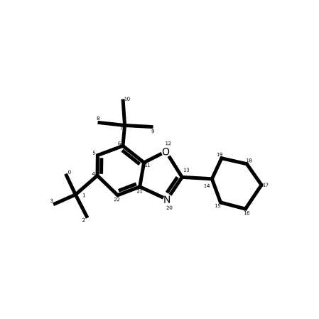 CC(C)(C)c1cc(C(C)(C)C)c2oc(C3CCCCC3)nc2c1